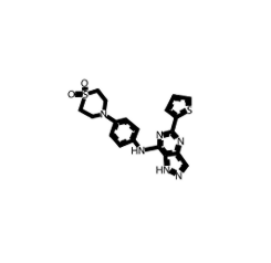 O=S1(=O)CCN(c2ccc(Nc3nc(-c4cccs4)nc4cn[nH]c34)cc2)CC1